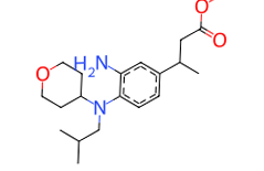 COC(=O)CC(C)c1ccc(N(CC(C)C)C2CCOCC2)c(N)c1